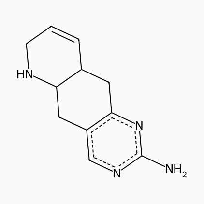 Nc1ncc2c(n1)CC1C=CCNC1C2